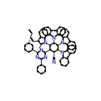 C=C/C=C\c1c(C)n(-c2c(-c3nc(-c4ccccc4)nc(-c4ccccc4)n3)c(C#N)c(-n3c4ccccc4c4ccccc43)c(-n3c4ccccc4c4ccccc43)c2-n2c3ccccc3c3ccccc32)c2ccccc12